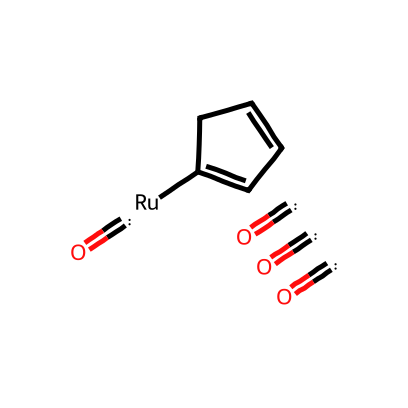 [C]=O.[C]=O.[C]=O.[C]=O.[Ru][C]1=CC=CC1